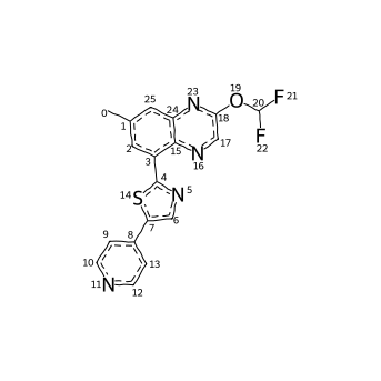 Cc1cc(-c2ncc(-c3ccncc3)s2)c2ncc(OC(F)F)nc2c1